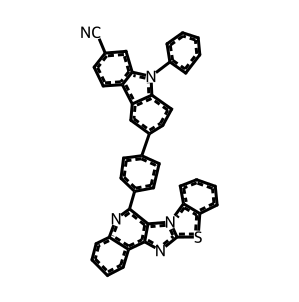 N#Cc1ccc2c3cc(-c4ccc(-c5nc6ccccc6c6nc7sc8ccccc8n7c56)cc4)ccc3n(-c3ccccc3)c2c1